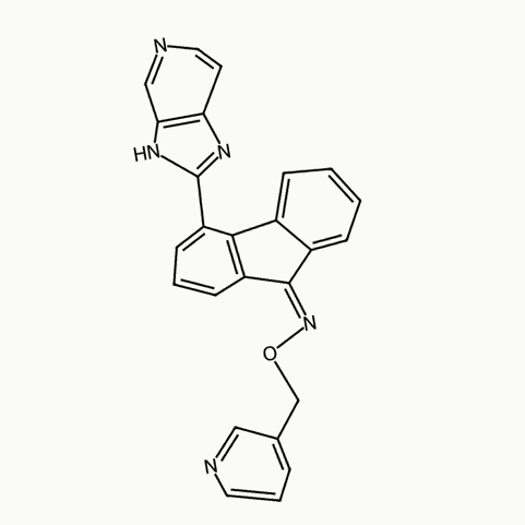 c1cncc(CON=C2c3ccccc3-c3c2cccc3-c2nc3ccncc3[nH]2)c1